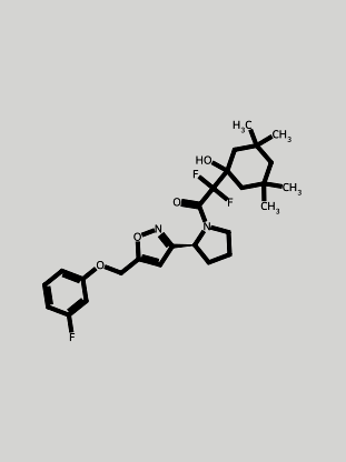 CC1(C)CC(C)(C)CC(O)(C(F)(F)C(=O)N2CCC[C@H]2c2cc(COc3cccc(F)c3)on2)C1